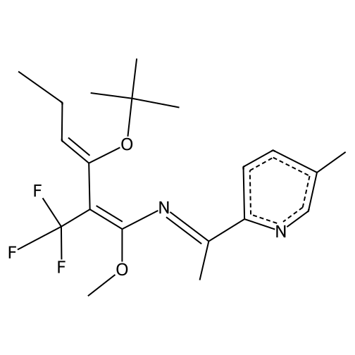 CC/C=C(OC(C)(C)C)/C(=C(\N=C(/C)c1ccc(C)cn1)OC)C(F)(F)F